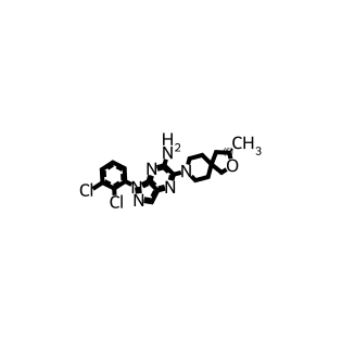 C[C@H]1CC2(CCN(c3nc4cnn(-c5cccc(Cl)c5Cl)c4nc3N)CC2)CO1